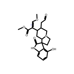 CO/C=C(/C(=O)OC)C1CC2N(CCC23C(=O)Nc2cccc(O)c23)CC1CC=O